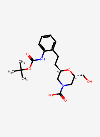 CC(C)(C)OC(=O)Nc1ccccc1CC[C@@H]1CN(C(=O)O)C[C@@H](CO)O1